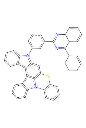 C1=CCC(C2=NC(c3cccc(-n4c5ccccc5c5c6c7ccccc7n7c6c(cc54)Sc4ccccc4-7)c3)=NC3C=CC=CC23)C=C1